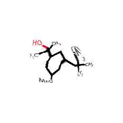 COC1CC(C(C)(O)C(F)(F)F)CC(C(C)(C(F)(F)F)C(F)(F)F)C1